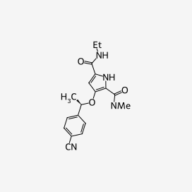 CCNC(=O)c1cc(O[C@H](C)c2ccc(C#N)cc2)c(C(=O)NC)[nH]1